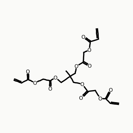 C=CC(=O)OCC(=O)OCC(C)(COC(=O)COC(=O)C=C)COC(=O)COC(=O)C=C